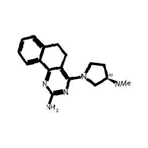 CN[C@@H]1CCN(c2nc(N)nc3c2CCc2ccccc2-3)C1